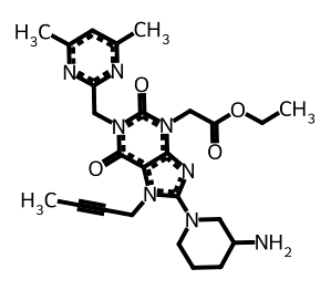 CC#CCn1c(N2CCCC(N)C2)nc2c1c(=O)n(Cc1nc(C)cc(C)n1)c(=O)n2CC(=O)OCC